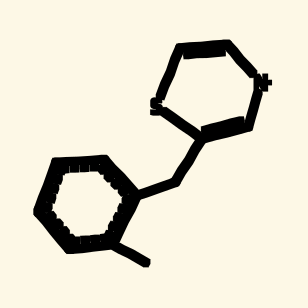 Cc1ccccc1CC1=C[N]C=CS1